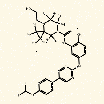 [2H]C1([2H])N(C(=O)Nc2cc(Nc3ncc(-c4ccc(OC(F)F)cc4)cn3)ccc2C)C([2H])([2H])C2(N(CCO)C1([2H])[2H])C([2H])([2H])C2([2H])[2H]